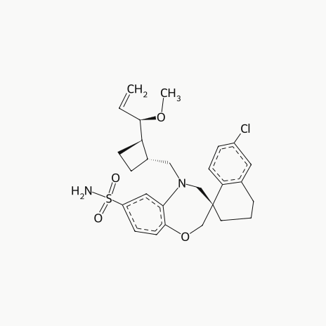 C=C[C@@H](OC)[C@@H]1CC[C@H]1CN1C[C@@]2(CCCc3cc(Cl)ccc32)COc2ccc(S(N)(=O)=O)cc21